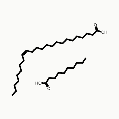 CCCCCCCC/C=C\CCCCCCCCCCCCCC(=O)O.CCCCCCCCCC(=O)O